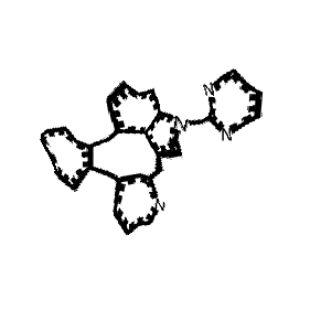 c1cnc(-n2cc3c4c(cccc42)-c2ccccc2-c2cccnc2-3)nc1